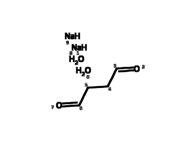 O.O.O=CCCC=O.[NaH].[NaH]